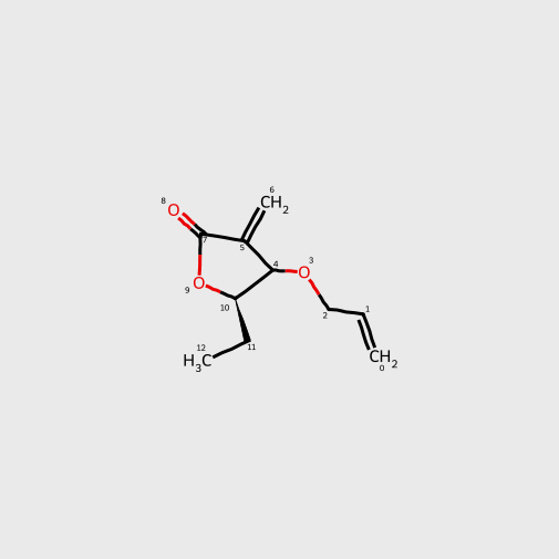 C=CCOC1C(=C)C(=O)O[C@@H]1CC